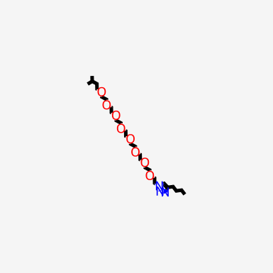 CCCCc1cn(CCOCCOCCOCCOCCOCCOCCOCCOCCC(C)C)nn1